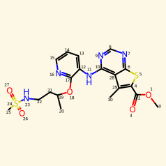 COC(=O)c1sc2ncnc(Nc3cccnc3OC(C)CCNS(C)(=O)=O)c2c1C